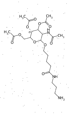 CC(=O)NC1C(OCCCCC(=O)NCCCN)OC(COC(C)=O)[C@H](OC(C)=O)C1OC(C)=O